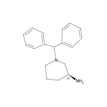 N[C@H]1CCCN(C(c2ccccc2)c2ccccc2)C1